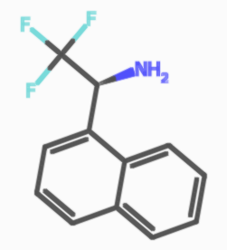 N[C@@H](c1cccc2ccccc12)C(F)(F)F